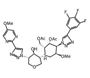 COc1cnc(-c2cn([C@H]3COC[C@@H]([SH]4C[C@H](OC)[C@H](n5cc(-c6cc(F)c(F)c(F)c6)nn5)[C@@H](OC(C)=O)[C@H]4COC(C)=O)[C@@H]3O)nn2)nc1